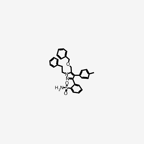 Cc1ccc(-c2c(-c3ccccc3S(N)(=O)=O)nn(CCc3ccccc3)c2COCc2ccccc2)cc1